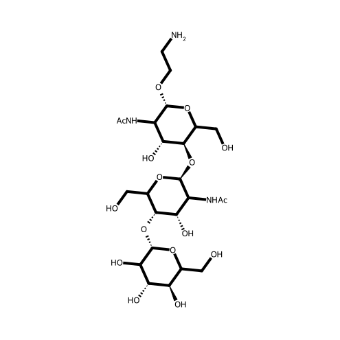 CC(=O)NC1[C@H](OCCN)OC(CO)[C@@H](O[C@@H]2OC(CO)[C@@H](O[C@@H]3OC(CO)[C@@H](O)[C@H](O)C3O)[C@@H](O)C2NC(C)=O)[C@@H]1O